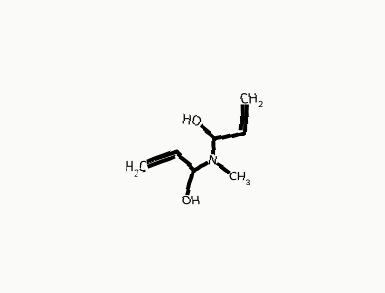 C=CC(O)N(C)C(O)C=C